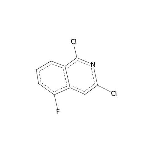 Fc1cccc2c(Cl)nc(Cl)cc12